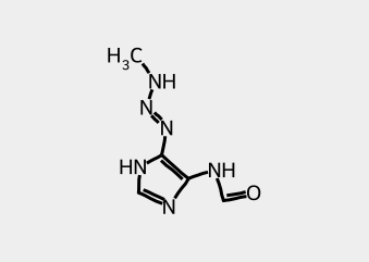 CNN=Nc1[nH]cnc1NC=O